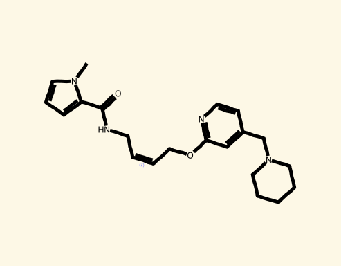 Cn1cccc1C(=O)NC/C=C\COc1cc(CN2CCCCC2)ccn1